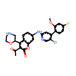 COc1cc(F)ccc1-c1cc(Nc2ccc3c(C4CNCCO4)c(C(C)=O)c(=O)oc3c2)ncc1Cl